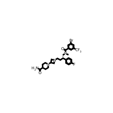 CN(C[C@@H](CCN1CC(N2CCC(C(N)=O)CC2)C1)c1ccc(F)cc1)C(=O)c1cc(Br)cc(C(F)(F)F)c1